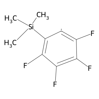 C[Si](C)(C)c1[c]c(F)c(F)c(F)c1F